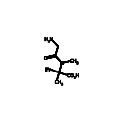 CC(C)[C@@](C)(C(=O)O)N(C)C(=O)CN